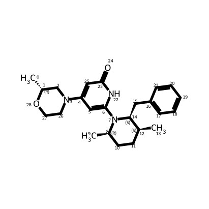 C[C@@H]1CN(c2cc(N3[C@H](C)CC[C@H](C)[C@@H]3Cc3ccccc3)[nH]c(=O)c2)CCO1